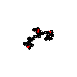 c1ccc(-c2ccccc2B2c3cc4c(cc3-n3c5ccccc5c5cccc2c53)c2cccc3c5cc(-c6ccc7c(c6)c6cccc8c6n7-c6cc7c(cc6B8c6ccc(-c8ccc9c%10cccc%11c%10n(c9c8)-c8cc9c%10ccccc%10n%10c%12ccccc%12c(c8B%11c8ccccc8-c8ccccc8)c9%10)cc6-c6ccccc6)c6cccc8c9ccccc9n7c86)ccc5n4c32)cc1